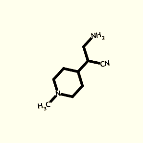 CN1CCC(C(C#N)CN)CC1